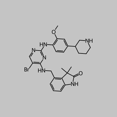 COc1cc(C2CCCNC2)ccc1Nc1ncc(Br)c(NCc2cccc3c2C(C)(C)C(=O)N3)n1